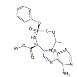 CC(C)OC(=O)[C@H]1N[P@@](=O)(Oc2ccccc2)COC(C)CC1/C=N\c1c(N)ncnc1N